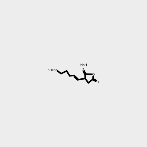 CCCCCCCCCCC=CC1CC(=O)OC1=O.[NaH]